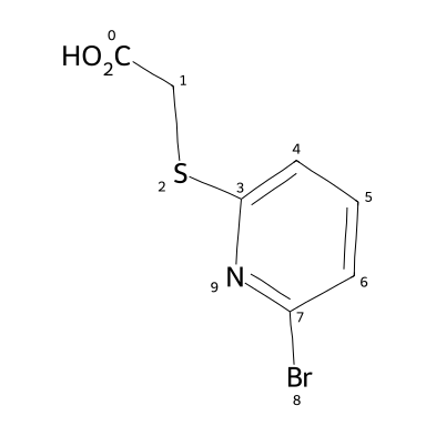 O=C(O)CSc1cccc(Br)n1